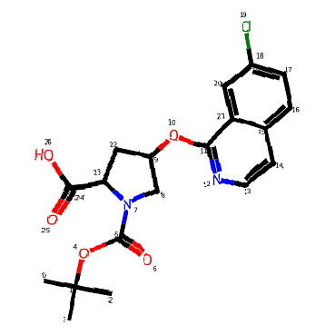 CC(C)(C)OC(=O)N1CC(Oc2nccc3ccc(Cl)cc23)CC1C(=O)O